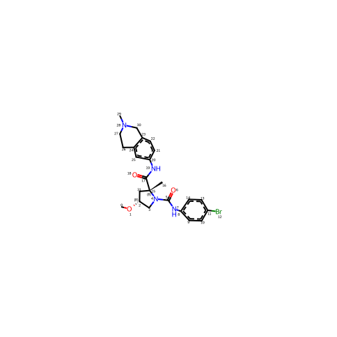 CO[C@H]1CN(C(=O)Nc2ccc(Br)cc2)[C@@](C)(C(=O)Nc2ccc3c(c2)CCN(C)C3)C1